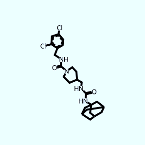 O=C(NCC1CCN(C(=O)NCc2ccc(Cl)cc2Cl)CC1)NC12CC3CC(CC(C3)C1)C2